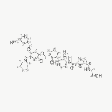 Cc1c(COc2cc(OCc3cncc(C#N)c3)c(CN3CCCCC3)cc2Cl)cccc1-c1cccc(NC(=O)c2ncc(CNCCO)s2)c1C